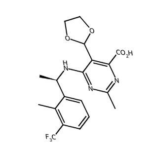 Cc1nc(N[C@H](C)c2cccc(C(F)(F)F)c2C)c(C2OCCO2)c(C(=O)O)n1